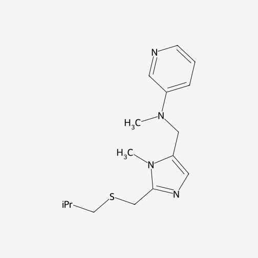 CC(C)CSCc1ncc(CN(C)c2cccnc2)n1C